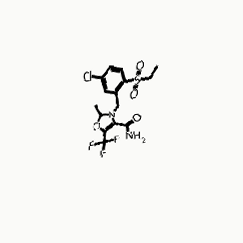 CCS(=O)(=O)c1ccc(Cl)cc1CN1C(C(N)=O)=C(C(F)(F)F)OC1C